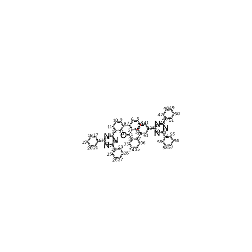 O=C(c1ccccc1-c1cccc(-c2nc(-c3ccccc3)nc(-c3ccccc3)n2)c1)c1ccccc1-c1cccc(-c2nc(-c3ccccc3)nc(-c3ccccc3)n2)c1